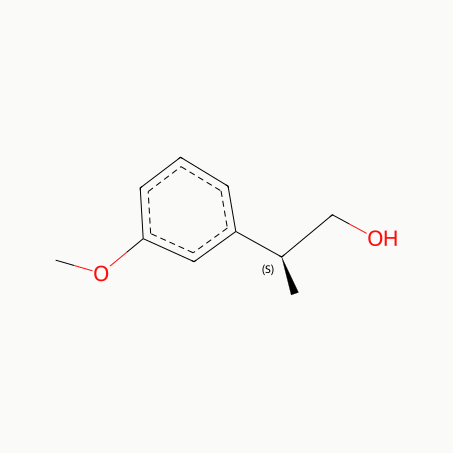 COc1cccc([C@H](C)CO)c1